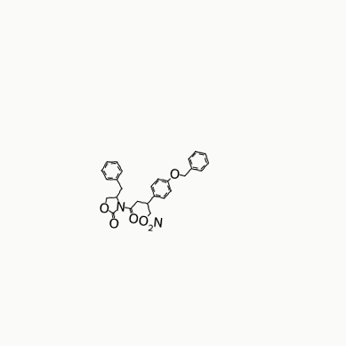 O=C(CC(C[N+](=O)[O-])c1ccc(OCc2ccccc2)cc1)N1C(=O)OCC1Cc1ccccc1